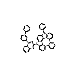 c1ccc(-c2cccc(-c3nc(-n4c5cccc6c7ccccc7c7cccc8c7c7c(c65)c4ccc7n8-c4ccccc4)nc4ccccc34)c2)cc1